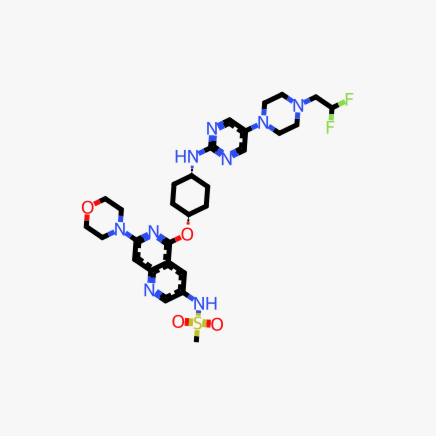 CS(=O)(=O)Nc1cnc2cc(N3CCOCC3)nc(O[C@H]3CC[C@@H](Nc4ncc(N5CCN(CC(F)F)CC5)cn4)CC3)c2c1